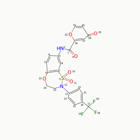 O=C(Nc1ccc2c(c1)S(=O)(=O)N(c1ccc(C(F)(F)F)cc1)CCO2)c1cc(=O)cco1